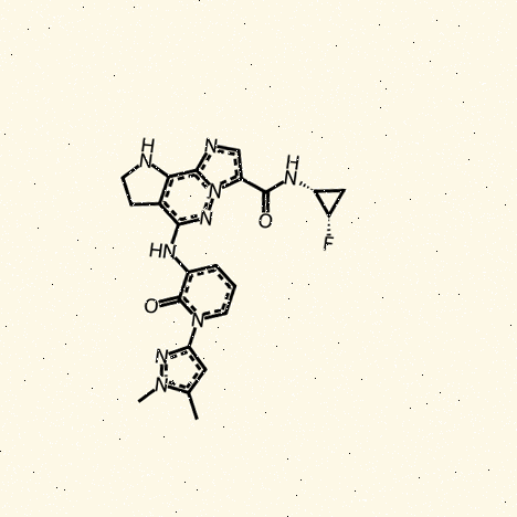 Cc1cc(-n2cccc(Nc3nn4c(C(=O)N[C@@H]5C[C@@H]5F)cnc4c4c3CCN4)c2=O)nn1C